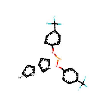 FC(F)(F)c1ccc(OPOc2ccc(C(F)(F)F)cc2)cc1.[Fe+2].c1cc[cH-]c1.c1cc[cH-]c1